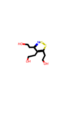 OCCC1=NSSC(CCO)=C1CCO